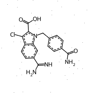 N=C(N)c1ccc2c(Cl)c(C(=O)O)n(Cc3ccc(C(N)=O)cc3)c2c1